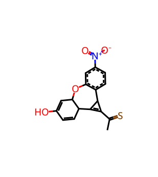 CC(=S)C1=C2C1c1ccc([N+](=O)[O-])cc1OC1C=C(O)C=CC21